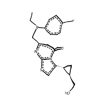 CCN(Cc1cc(=O)n2c([C@@H]3C[C@H]3CO)csc2n1)c1ccc(F)cc1